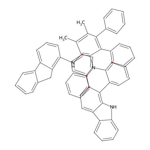 Cc1c(C)c(-c2ccccc2)c(-c2ccccc2)c(N(c2ccccc2)c2ccccc2-c2c(-c3ccccc3)ccc3c2[nH]c2ccccc23)c1Nc1cccc2c1Cc1ccccc1-2